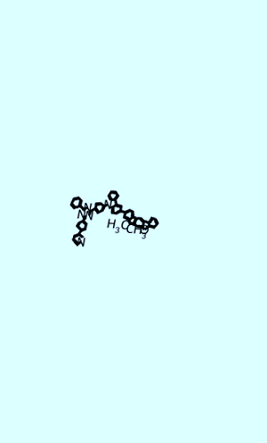 CC1(C)c2cc(-c3ccc4c(c3)c3ccccc3n4-c3ccc(-c4nc(-c5ccccc5)nc(-c5ccc(-c6cccnc6)cc5)n4)cc3)ccc2-c2cc3c(cc21)oc1ccccc13